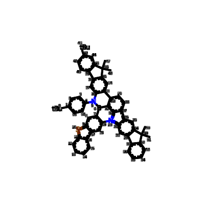 CC(C)(C)c1ccc(N2B3c4cc5sc6ccccc6c5cc4-n4c5cc6c(cc5c5ccc(c3c54)-c3cc4c(cc32)-c2ccc(C(C)(C)C)cc2C4(C)C)C(C)(C)c2ccccc2-6)cc1